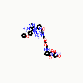 N/C(=C\N(N)CCOCCOCCNc1cccc2c1C(=O)N(C1CCC(=O)NC1=O)C2=O)C(=O)N1CCCC(n2nc(-c3ccc(Oc4ccccc4)cc3)c3c(N)ncnc32)C1